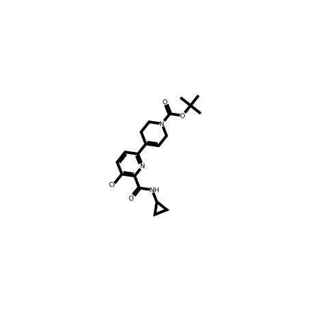 CC(C)(C)OC(=O)N1CC=C(c2ccc(Cl)c(C(=O)NC3CC3)n2)CC1